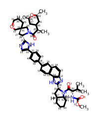 COC(=O)N[C@H](C(=O)N1[C@H](c2nc3ccc4cc(-c5ccc(-c6cnc([C@@H]7C[C@@]8(CCCOC8)CN7C(=O)[C@H](C)C7C[C@@H](C)O[C@H](C)C7)[nH]6)cc5)ccc4c3[nH]2)C[C@@H]2CCCC[C@@H]21)C(C)C